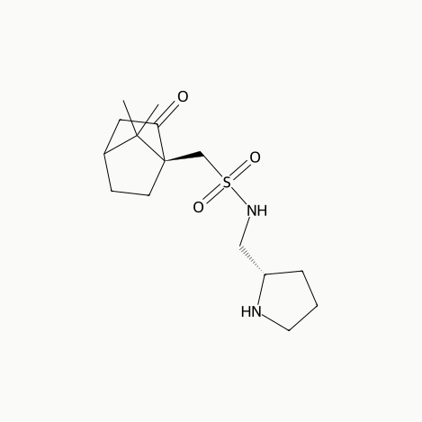 CC1(C)C2CC[C@@]1(CS(=O)(=O)NC[C@@H]1CCCN1)C(=O)C2